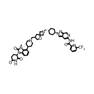 Cn1c(=O)n(C2CCC(=O)NC2=O)c2cccc(C3CCN(CC4COC5(C4)CN(C[C@H]4CC[C@H](n6cc7cc(NC(=O)c8cccc(C(F)(F)F)n8)ncc7n6)CC4)C5)CC3)c21